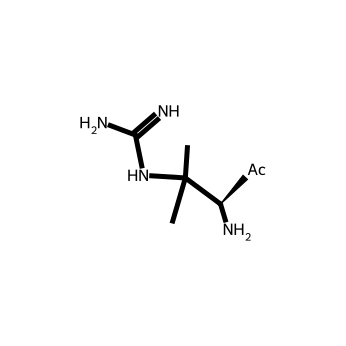 CC(=O)[C@@H](N)C(C)(C)NC(=N)N